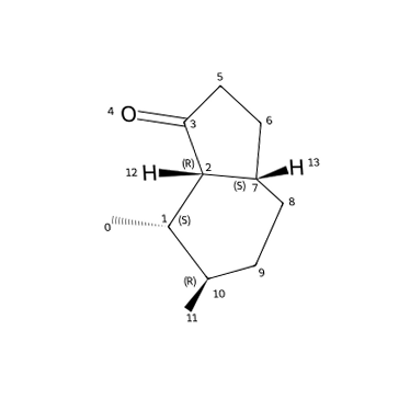 C[C@@H]1[C@@H]2C(=O)CC[C@@H]2CC[C@H]1C